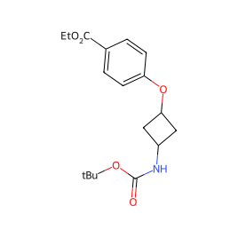 CCOC(=O)c1ccc(OC2CC(NC(=O)OC(C)(C)C)C2)cc1